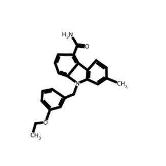 CCOc1cccc(Cn2c3cc(C)c[c]c3c3c(C(N)=O)cccc32)c1